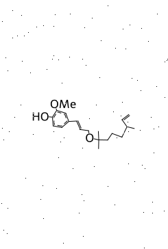 C=CC(C)CCCC(C)(C)OC/C=C/c1ccc(O)c(OC)c1